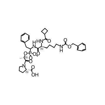 COP(=O)(O[C@@H](C)C(=O)N1CCC[C@H]1C(=O)O)C(Cc1ccccc1)NC(=O)[C@H](CCCCNC(=O)OCc1ccccc1)NC(=O)C1CCC1